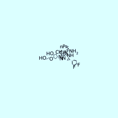 C=c1/c(=C(\N=C(/N)SCCC)N[C@@H]2C[C@H]2c2ccc(F)c(F)c2)nnn1[C@@H]1C[C@H](OCCO)[C@@H](O)[C@H]1C